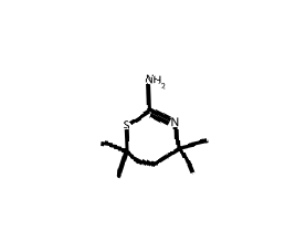 CC1(C)CC(C)(C)SC(N)=N1